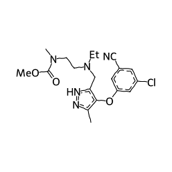 CCN(CCN(C)C(=O)OC)Cc1[nH]nc(C)c1Oc1cc(Cl)cc(C#N)c1